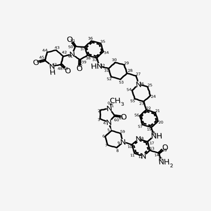 CN1CCN([C@@H]2CCCN(c3cnc(C(N)=O)c(Nc4ccc(C5CCN(CC6CCC(Nc7cccc8c7C(=O)N(C7CCC(=O)NC7=O)C8=O)CC6)CC5)cc4)n3)C2)C1=O